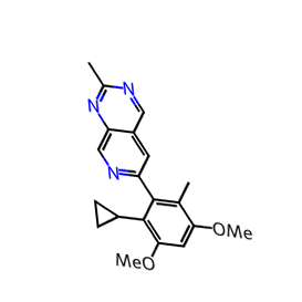 COc1cc(OC)c(C2CC2)c(-c2cc3cnc(C)nc3cn2)c1C